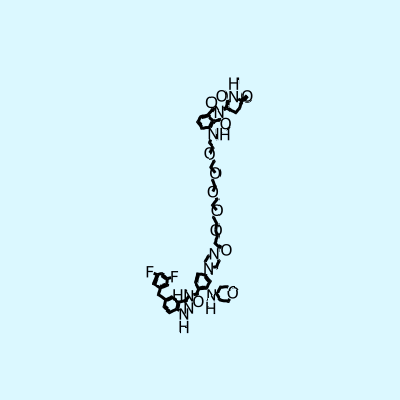 O=C1CCC(N2C(=O)c3cccc(NCCOCCOCCOCCOCCOCCC(=O)N4CCN(c5ccc(C(=O)Nc6n[nH]c7ccc(Cc8cc(F)cc(F)c8)cc67)c(NC6CCOCC6)c5)CC4)c3C2=O)C(=O)N1